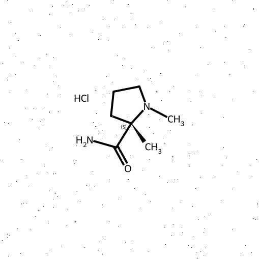 CN1CCC[C@@]1(C)C(N)=O.Cl